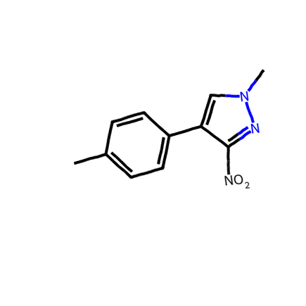 Cc1ccc(-c2cn(C)nc2[N+](=O)[O-])cc1